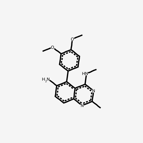 CNc1nc(C)nc2ccc(N)c(-c3ccc(OC)c(OC)c3)c12